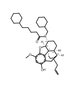 C=CCN1CC[C@]23c4c5c(O)cc(OC)c4O[C@H]2[C@H](N(CC2CCCCC2)C(=O)CCCCC2CCCCC2)CC[C@H]3[C@H]1C5